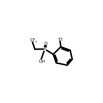 CCc1ccccc1P(=O)(O)CC(F)(F)F